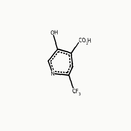 O=C(O)c1cc(C(F)(F)F)ncc1O